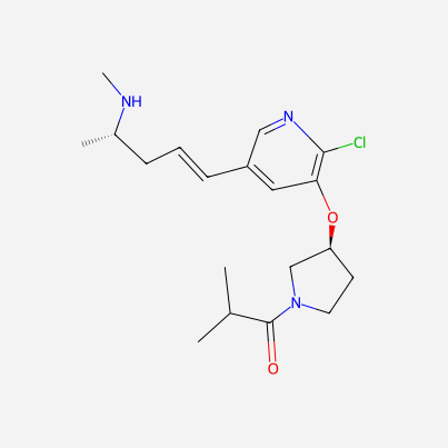 CN[C@@H](C)CC=Cc1cnc(Cl)c(O[C@H]2CCN(C(=O)C(C)C)C2)c1